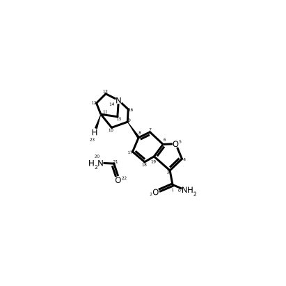 NC(=O)c1coc2cc([C@H]3C[C@@H]4CCN(C4)C3)ccc12.NC=O